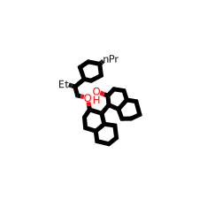 CCCC1CCC(C(CC)COC2CCC3CCCCC3C2C2C(O)CCC3CCCCC32)CC1